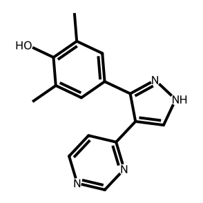 Cc1cc(-c2n[nH]cc2-c2ccncn2)cc(C)c1O